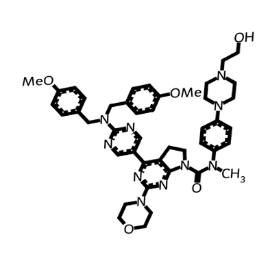 COc1ccc(CN(Cc2ccc(OC)cc2)c2ncc(-c3nc(N4CCOCC4)nc4c3CCN4C(=O)N(C)c3ccc(N4CCN(CCO)CC4)cc3)cn2)cc1